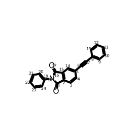 O=C1c2ccc(C#Cc3ccccc3)cc2C(=O)N1c1cc[c]cc1